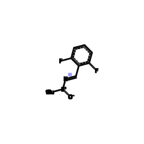 CC(C)(C)[S+]([O-])/N=C/c1c(F)cccc1F